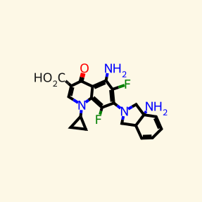 Nc1c(F)c(N2CC3C=CC=CC3(N)C2)c(F)c2c1c(=O)c(C(=O)O)cn2C1CC1